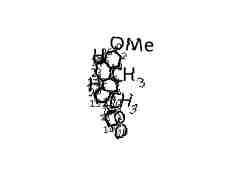 CO[C@H]1CC[C@]2(C)C3CC[C@]4(C)[C@@H](c5ccc(=O)oc5)CC[C@@H]4C3CC[C@@H]2C1